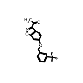 CC(=O)c1noc2cc(OCc3cccc(C(F)(F)F)c3)ccc12